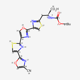 CC(C)(C)OC(=O)N[C@@H](Cc1nc(-c2nc(-c3nc(-c4nc(C#N)co4)cs3)co2)cs1)C(=O)O